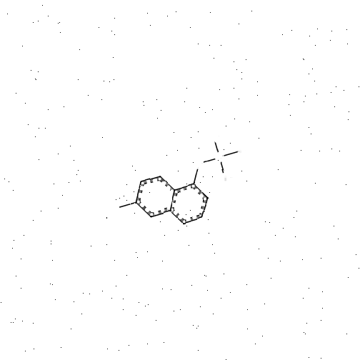 CC(C)[Si](Oc1cccc2[c]c(F)ccc12)(C(C)C)C(C)C